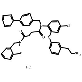 Cl.NCCc1cccc(Oc2cc(Cl)ccc2N(Cc2ccc(-c3ccccc3)cc2)C(=O)CCC(=O)NCc2ccccc2F)c1